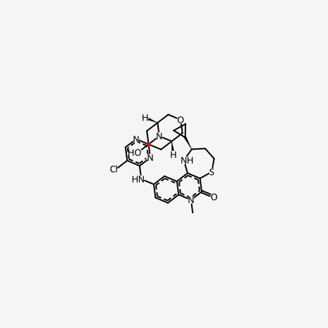 Cn1c(=O)c2c(c3cc(Nc4nc(N5[C@@H]6COC[C@H]5CC(O)C6)ncc4Cl)ccc31)N[C@@H](C1CC1)CCS2